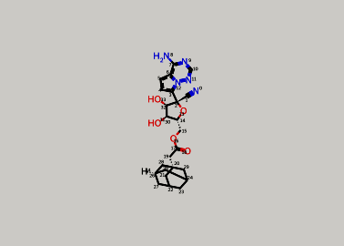 N#C[C@@]1(c2ccc3c(N)ncnn23)O[C@H](COC(=O)C[C@]23CC4CC(C[C@@H](C4)C2)C3)[C@@H](O)[C@H]1O